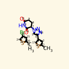 Cc1cc(-c2cn(C3CCC(=O)NC3=O)nn2)cs1.Cc1cc(Br)cs1